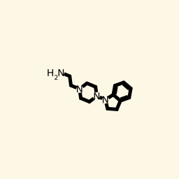 NCCN1CCN(N2CCc3ccccc32)CC1